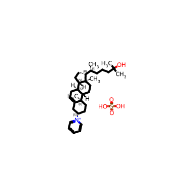 C[C@H](CCCC(C)(C)O)[C@H]1CC[C@H]2[C@@H]3CC=C4C[C@@H]([n+]5ccccc5)CC[C@]4(C)[C@H]3CC[C@]12C.O=S(=O)(O)O